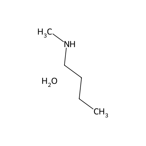 CCCCNC.O